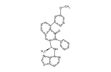 COc1cncc(-c2cccc3cc([C@H](C)Nc4nccc5scnc45)n(-c4ccccc4)c(=O)c23)c1